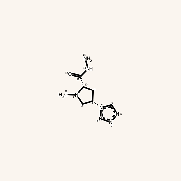 CN1C[C@@H](n2cnnn2)C[C@H]1C(=O)NN